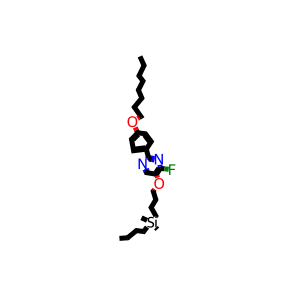 CCCCCCCCOc1ccc(-c2ncc(OCCCC[Si](C)(C)CCCC)c(F)n2)cc1